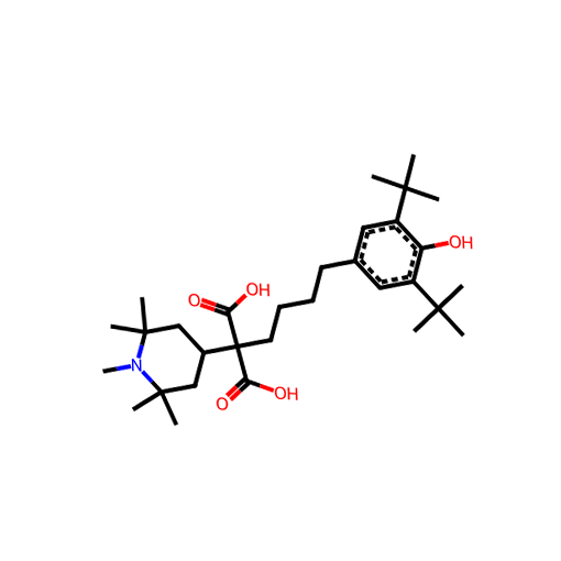 CN1C(C)(C)CC(C(CCCCc2cc(C(C)(C)C)c(O)c(C(C)(C)C)c2)(C(=O)O)C(=O)O)CC1(C)C